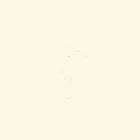 C=C1C=c2ccccc2=[C]1[Ti+2][c]1[nH]c2ccccc2c1C(C)(C)C.[Cl-].[Cl-]